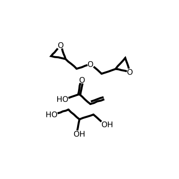 C(OCC1CO1)C1CO1.C=CC(=O)O.OCC(O)CO